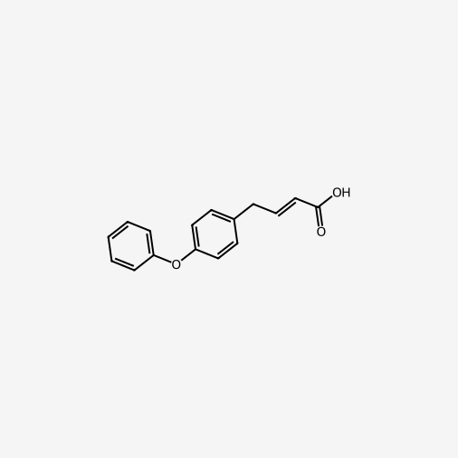 O=C(O)C=CCc1ccc(Oc2ccccc2)cc1